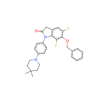 CC1(C)CCN(c2ccc(N3C(=O)Cc4cc(F)c(OCc5ccccc5)c(F)c43)cc2)CC1